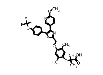 COc1ccc(-c2nc(COc3cc(C)c(OC(C)(C)C(=O)O)cc3C)sc2-c2ccc(OC(F)(F)F)cc2)cn1